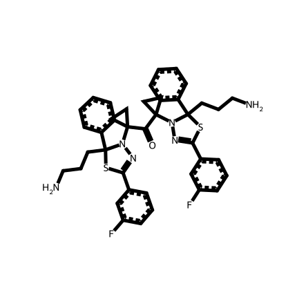 NCCCC1(c2ccccc2)SC(c2cccc(F)c2)=NN1C1(C(=O)C2(N3N=C(c4cccc(F)c4)SC3(CCCN)c3ccccc3)CC2)CC1